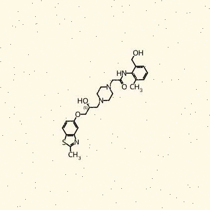 Cc1nc2cc(OC[C@@H](O)CN3CCN(CC(=O)Nc4c(C)cccc4CO)CC3)ccc2s1